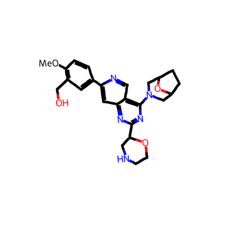 COc1ccc(-c2cc3nc(C4CNCCO4)nc(N4CC5CCC(C4)O5)c3cn2)cc1CO